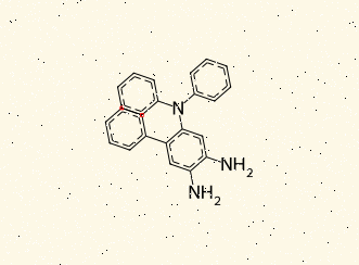 Nc1cc(-c2ccccc2)c(N(c2ccccc2)c2ccccc2)cc1N